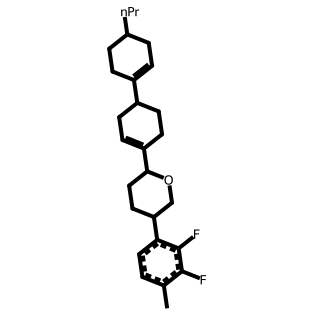 CCCC1CC=C(C2CC=C(C3CCC(c4ccc(C)c(F)c4F)CO3)CC2)CC1